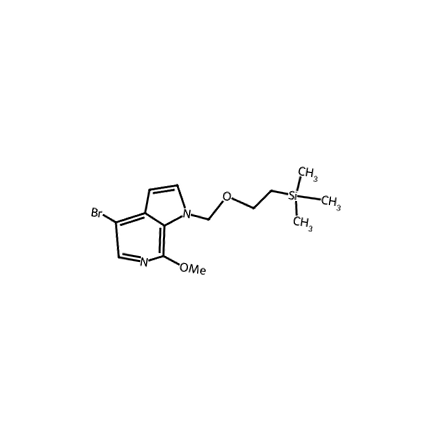 COc1ncc(Br)c2ccn(COCC[Si](C)(C)C)c12